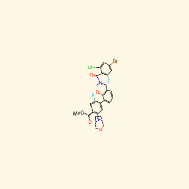 COC(=O)c1cc(F)c(-c2cccc3c2OCN(C(=O)c2c(F)cc(Br)cc2Cl)C3)cc1N1C2CCC1COC2